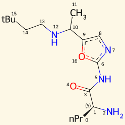 CCC[C@H](N)C(=O)Nc1ncc(C(C)NCCC(C)(C)C)o1